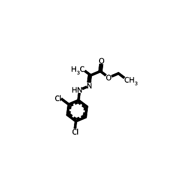 CCOC(=O)/C(C)=N/Nc1ccc(Cl)cc1Cl